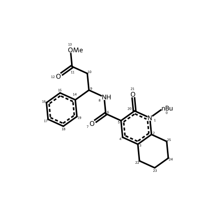 CCCCn1c2c(cc(C(=O)NC(CC(=O)OC)c3ccccc3)c1=O)CCCC2